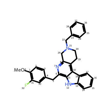 COc1ccc(Cc2nc3c(c4c2[nH]c2ccccc24)CCN(Cc2ccccc2)C3)cc1F